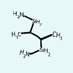 CC([SiH2]N)C(C)[SiH2]N